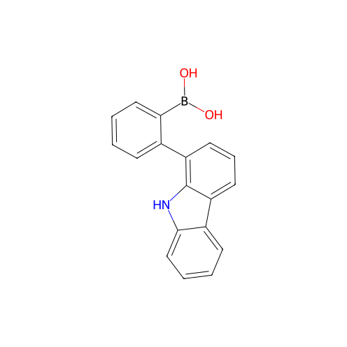 OB(O)c1ccccc1-c1cccc2c1[nH]c1ccccc12